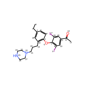 CCc1ccc(Oc2c(I)cc(C(C)=O)cc2I)c(CCCN2CCNCC2)c1